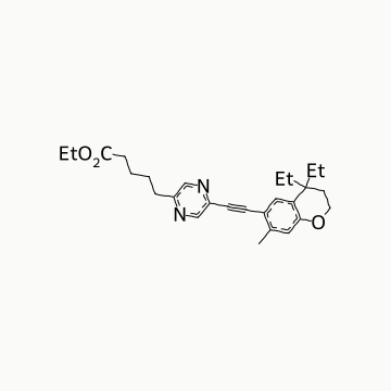 CCOC(=O)CCCCc1cnc(C#Cc2cc3c(cc2C)OCCC3(CC)CC)cn1